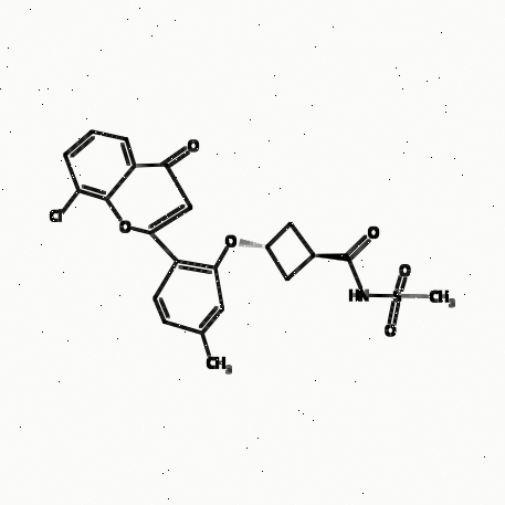 Cc1ccc(-c2cc(=O)c3cccc(Cl)c3o2)c(O[C@H]2C[C@H](C(=O)NS(C)(=O)=O)C2)c1